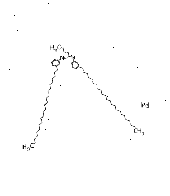 CCCCCCCCCCCCCCCCCCCCCCCCc1cccc(/N=C(\C=N\c2cccc(CCCCCCCCCCCCCCCCCCCCCCCC)c2)CCCC)c1.[Pd]